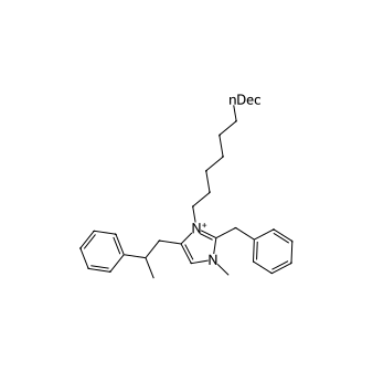 CCCCCCCCCCCCCCCC[n+]1c(CC(C)c2ccccc2)cn(C)c1Cc1ccccc1